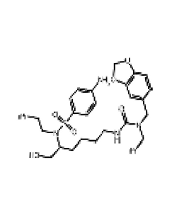 CC(C)CCN(C(CO)CCCCNC(=O)N(Cc1ccc2c(c1)OCO2)CC(C)C)S(=O)(=O)c1ccc(N)cc1